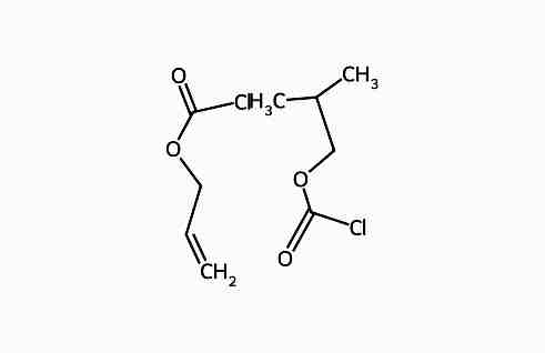 C=CCOC(=O)Cl.CC(C)COC(=O)Cl